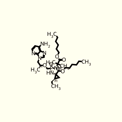 CCCCCCOC(=O)C(C)(C)NP(=O)(CO[C@H](C)Cn1cnc2c(N)ccnc21)N[C@]1(C(=O)OCCCCCC)C[C@H]1CC